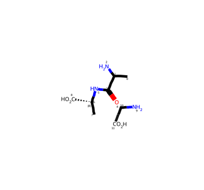 CC(N)C(=O)N[C@H](C)C(=O)O.NCC(=O)O